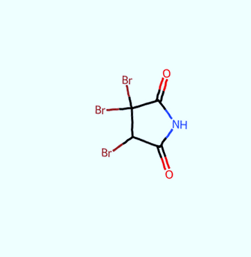 O=C1NC(=O)C(Br)(Br)C1Br